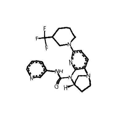 O=C(Nc1cccnc1)N1c2nc(N3CCCC(C(F)(F)F)C3)ccc2N2CC[C@H]1C2